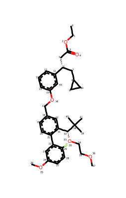 CCOC(=O)C[C@H](CC1CC1)c1cccc(OCc2ccc(-c3cc(OC)ccc3F)c([C@@H](OCCOC)C(C)(C)C)c2)c1